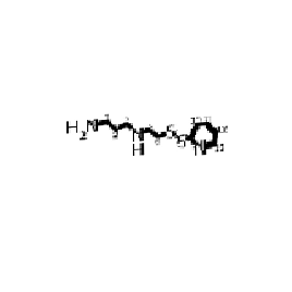 NCCCNCCSSc1ccccn1